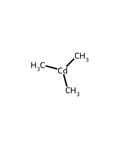 [CH3][Cd]([CH3])[CH3]